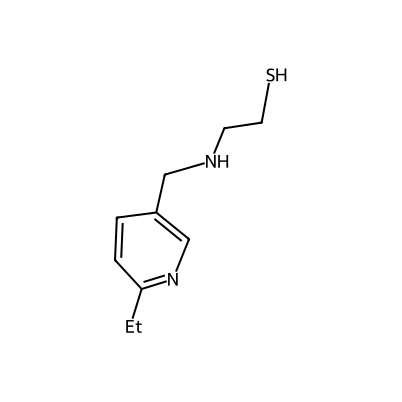 CCc1ccc(CNCCS)cn1